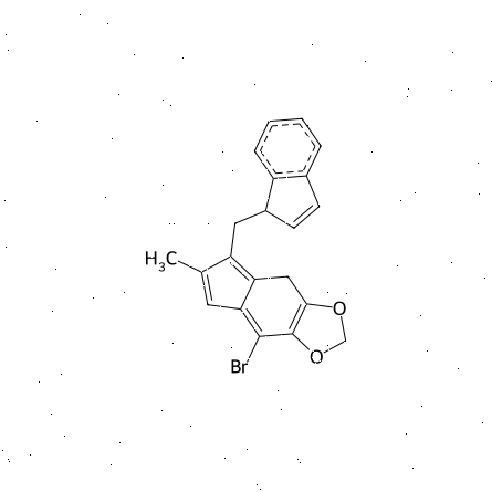 CC1=CC2=C(Br)C3=C(CC2=C1CC1C=Cc2ccccc21)OCO3